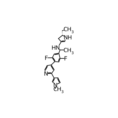 CC[C@H]1CC(NC(C)c2cc(F)c(-c3ccnc(-c4ccn(C)c4)c3)cc2F)=CN1